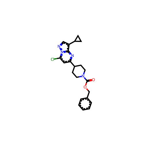 O=C(OCc1ccccc1)N1CCC(c2cc(Cl)n3ncc(C4CC4)c3n2)CC1